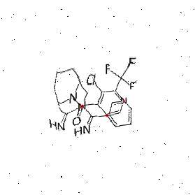 N=C(c1cccnc1)N1CC2CCCC(C1=N)N2C(=O)c1cccc(C(F)(F)F)c1Cl